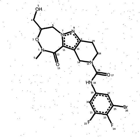 CN1OC(CO)Cn2nc3c(c2C1=O)CN(C(=O)Nc1cc(F)c(F)c(Br)c1)CC3